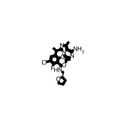 Cc1nc(C(C)c2cc(Cl)c(F)c(C(=O)NC[C@H]3CCCO3)c2OC(C)C)n2ccnc(N)c12